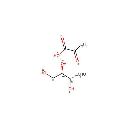 CC(=O)C(=O)O.O=C[C@H](O)[C@H](O)CO